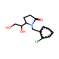 O=C1CCC(C(O)CO)N1Cc1ccccc1Cl